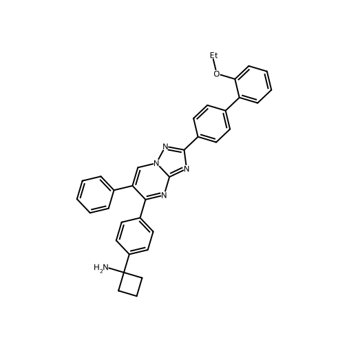 CCOc1ccccc1-c1ccc(-c2nc3nc(-c4ccc(C5(N)CCC5)cc4)c(-c4ccccc4)cn3n2)cc1